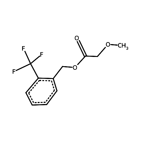 COCC(=O)OCc1ccccc1C(F)(F)F